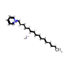 CCCCCCCCCCCCCCCC[n+]1ccccc1.[I-]